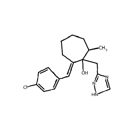 CC1CCCCC(=Cc2ccc(Cl)cc2)C1(O)Cc1nc[nH]n1